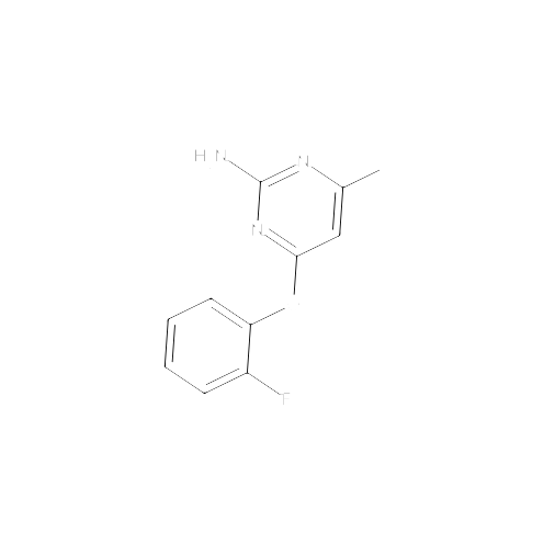 Nc1nc(F)cc(Oc2ccccc2F)n1